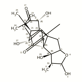 C[C@@H]1C(O)OC2CC34C5OC(=O)[C@]3(OC3OC(=O)[C@H](O)C34[C@H](C(C)(C)C)[C@H]5O)[C@]21O